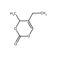 CCC1=COC(=O)OC1C